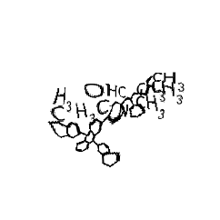 C/C=C\C(C)=C/C(C)(C)C/C(C1=CCCC=C1)=C(\C=O)C1=NC#CC(c2ccc3c(C4=CC=C5C(C)CCCC5C4)c4ccccc4c(C4C=CC5=C(CCC=C5)C4)c3c2)[C@H](C)C1